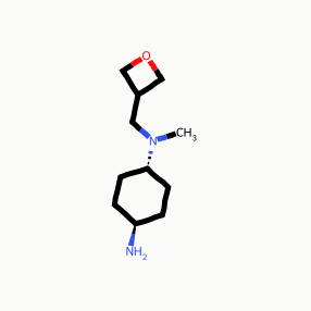 CN(CC1COC1)[C@H]1CC[C@H](N)CC1